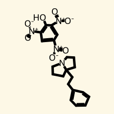 O=[N+]([O-])c1cc([N+](=O)[O-])c(O)c([N+](=O)[O-])c1.c1ccc(CCC23CCCN2CCC3)cc1